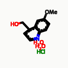 COc1ccc2nccc(CO)c2c1.Cl.O.O